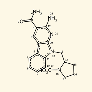 NC(=O)c1cc2c3ccccc3n(CC3CCCN3C(=O)O)c2nc1N